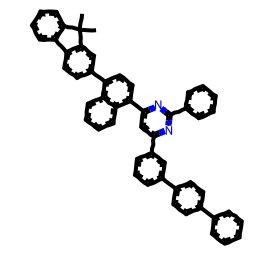 CC1(C)c2ccccc2-c2ccc(-c3ccc(-c4cc(-c5cccc(-c6ccc(-c7ccccc7)cc6)c5)nc(-c5ccccc5)n4)c4ccccc34)cc21